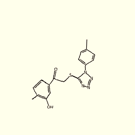 Cc1ccc(-n2nnnc2SCC(=O)c2ccc(C)c(O)c2)cc1